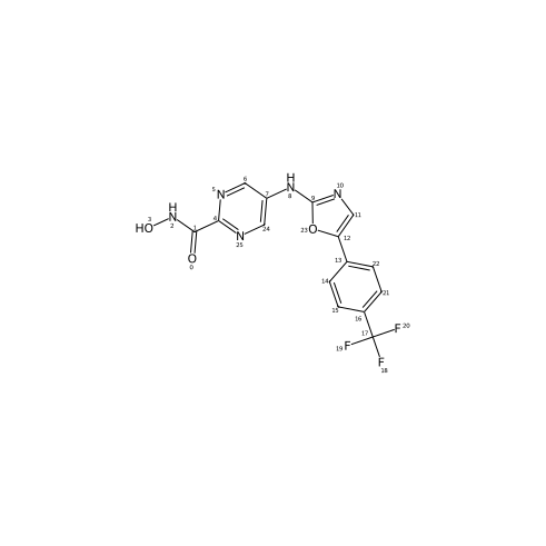 O=C(NO)c1ncc(Nc2ncc(-c3ccc(C(F)(F)F)cc3)o2)cn1